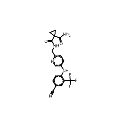 N#Cc1ccc(Nc2ccc(CNC(=O)C3(C(N)=O)CC3)nc2)c(C(F)(F)F)c1